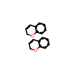 C1=Cc2ccccc2OC1.C1=Cc2ccccc2OC1